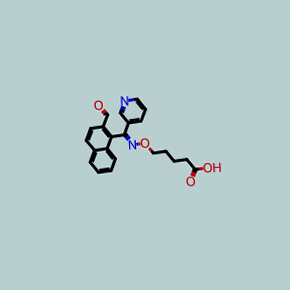 O=Cc1ccc2ccccc2c1C(=NOCCCCC(=O)O)c1cccnc1